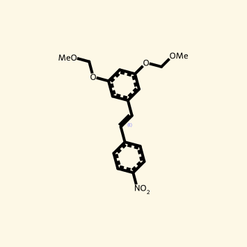 COCOc1cc(/C=C/c2ccc([N+](=O)[O-])cc2)cc(OCOC)c1